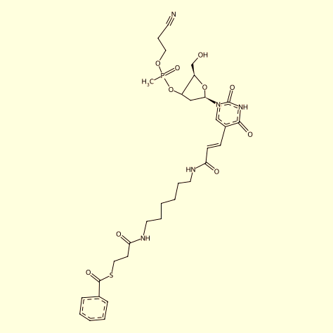 CP(=O)(OCCC#N)OC1C[C@H](n2cc(/C=C/C(=O)NCCCCCCNC(=O)CCSC(=O)c3ccccc3)c(=O)[nH]c2=O)O[C@@H]1CO